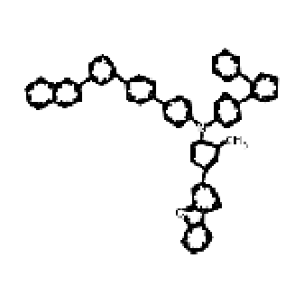 CC1C=C(c2ccc3c(c2)oc2ccccc23)C=CC1N(c1ccc(-c2ccc(-c3cccc(-c4ccc5ccccc5c4)c3)cc2)cc1)c1ccc(-c2ccccc2-c2ccccc2)cc1